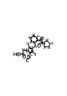 [C-]#[N+]c1c(C)c(Cc2ccccc2S(=O)(=O)N2CCCC2)c(C)n1CC(=O)O